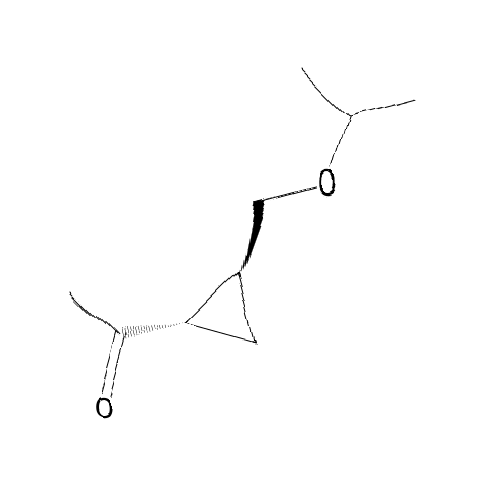 CC(=O)[C@H]1C[C@@H]1COC(C)C